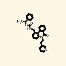 C[C@H](OC(=O)NCc1ccccc1-c1ccccc1C(=O)NCCc1cccnc1)c1ccccc1